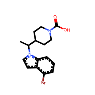 CC(C1CCN(C(=O)O)CC1)n1ccc2c(Br)cccc21